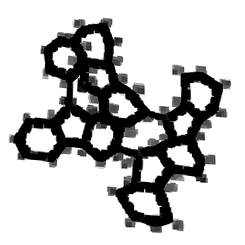 c1ccc(-n2c3ccccc3c3cc(-n4c5ccccc5c5ccc6c7ccccc7n(-c7ccc8sc9ccccc9c8c7)c6c54)ccc32)cc1